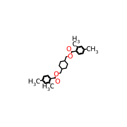 Cc1ccc(C(=O)OCC2CCC(COC(=O)c3ccc(C)cc3C)CC2)c(C)c1